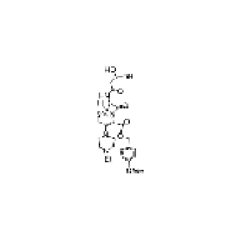 CCN1CCN(C2=C(C(=O)OCc3ccc(OC)cc3)N3C(=O)C(NC(=O)CN(O)O)[C@@H]3SC2)CC1